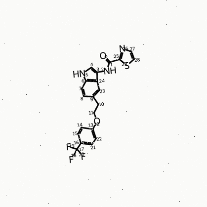 O=C(Nc1c[nH]c2ccc(CCOc3ccc(C(F)(F)F)cc3)cc12)c1nccs1